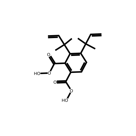 C=CC(C)(C)c1ccc(C(=O)OO)c(C(=O)OO)c1C(C)(C)C=C